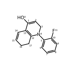 OC1=CCN(c2ccccc2F)C2=C1C=CCC2